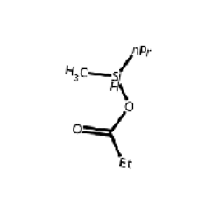 CCC[SiH](C)OC(=O)CC